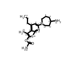 CCCc1cc(N2CCCC(N)CC2)nc2sc(OC(N)=O)c(N)c12